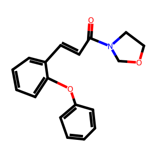 O=C(C=Cc1ccccc1Oc1ccccc1)N1CCOC1